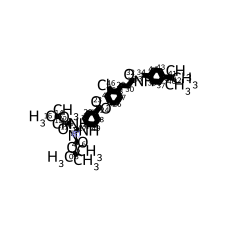 CC(C)(C)OC(=O)/N=C(/NC(=O)OC(C)(C)C)Nc1ccc(C(=O)Oc2ccc(CCC(=O)NCc3ccc(C(C)(C)C)cc3)c(Cl)c2)cc1